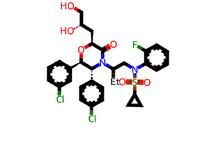 CCC(CN(c1ccccc1F)S(=O)(=O)C1CC1)N1C(=O)[C@H](C[C@H](O)CO)O[C@H](c2cccc(Cl)c2)[C@H]1c1ccc(Cl)cc1